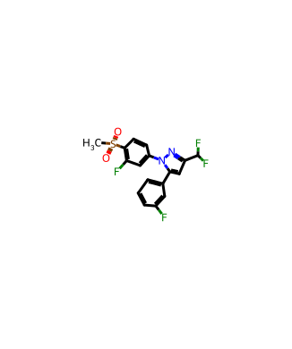 CS(=O)(=O)c1ccc(-n2nc(C(F)F)cc2-c2cccc(F)c2)cc1F